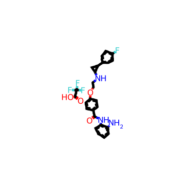 Nc1ccccc1NC(=O)c1ccc(OCCNC2CC2c2ccc(F)cc2)cc1.O=C(O)C(F)(F)F